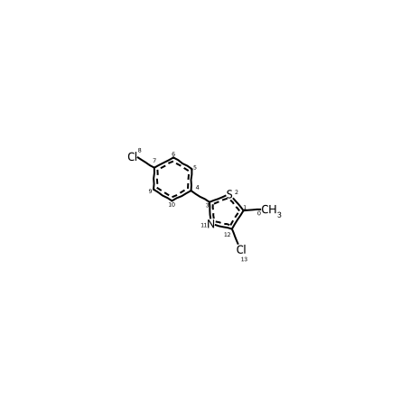 Cc1sc(-c2ccc(Cl)cc2)nc1Cl